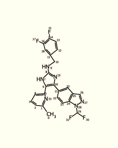 Cc1cccc(-c2[nH]c(NCc3ccc(F)c(F)c3)nc2-c2ccc3c(cnn3C(F)F)c2)n1